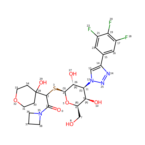 O=C(C(S[C@@H]1O[C@H](CO)[C@H](O)[C@H](n2cc(-c3cc(F)c(F)c(F)c3)nn2)[C@H]1O)C1(O)CCOCC1)N1CCC1